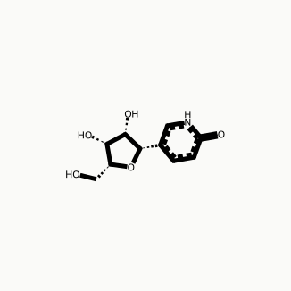 O=c1ccc([C@@H]2O[C@H](CO)[C@H](O)[C@@H]2O)c[nH]1